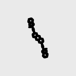 C(#Cc1cc2ccccc2s1)c1ccc2cc3cc(C#Cc4cc5ccccc5s4)ccc3cc2c1